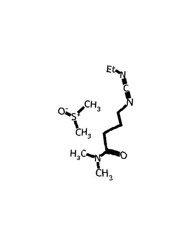 CCN=C=NCCCC(=O)N(C)C.C[S+](C)[O-]